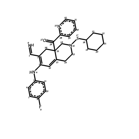 N=CC1=C(Nc2ccc(F)cc2)C=C2CCN(SC3CCCCC3)CC2(C(=O)c2ccccn2)C1